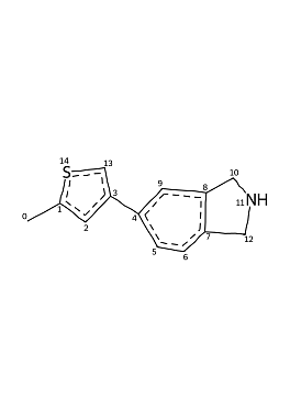 Cc1cc(-c2ccc3c(c2)CNC3)cs1